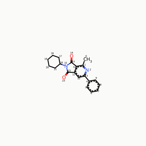 Cc1nc(-c2ccccc2)cc2c1C(=O)N(C1CCCCC1)C2=O